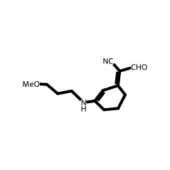 COCCCNC1=C/C(=C(\C#N)C=O)CCC1